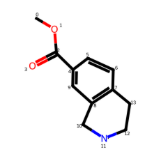 COC(=O)c1ccc2c(c1)C[N]CC2